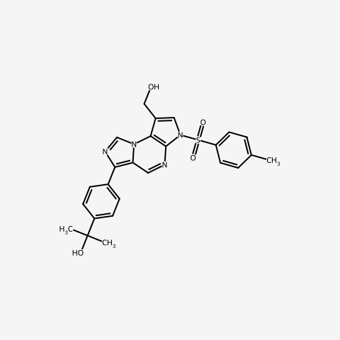 Cc1ccc(S(=O)(=O)n2cc(CO)c3c2ncc2c(-c4ccc(C(C)(C)O)cc4)ncn23)cc1